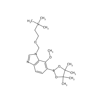 COc1c(B2OC(C)(C)C(C)(C)O2)ccc2ncn(COCC[Si](C)(C)C)c12